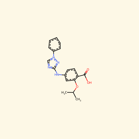 CC(C)Oc1cc(Nc2ncn(-c3ccccc3)n2)ccc1C(=O)O